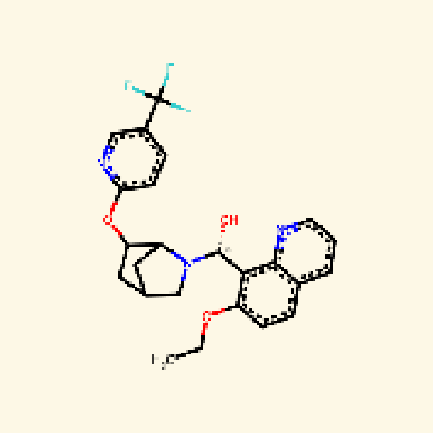 CCOc1ccc2cccnc2c1[C@@H](O)N1CC2CC(Oc3ccc(C(F)(F)F)cn3)C1C2